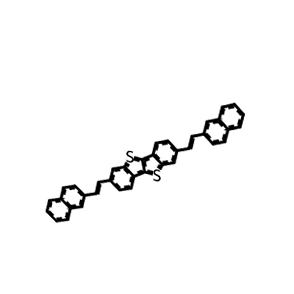 C(=C\c1ccc2c(c1)sc1c3ccc(/C=C/c4ccc5ccccc5c4)cc3sc21)/c1ccc2ccccc2c1